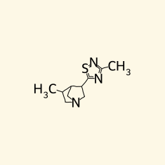 Cc1nsc(C2CN3CC(C)C2C3)n1